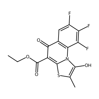 CCOC(=O)c1c(=O)c2cc(F)c(F)c(F)c2n2c(O)c(C)sc12